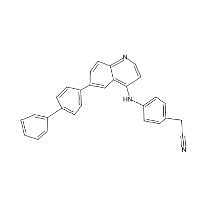 N#CCc1ccc(Nc2ccnc3ccc(-c4ccc(-c5ccccc5)cc4)cc23)cc1